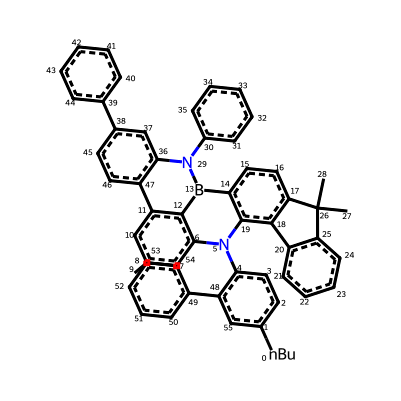 CCCCc1ccc(N2c3cc(C)cc4c3B(c3ccc5c(c32)-c2ccccc2C5(C)C)N(c2ccccc2)c2cc(-c3ccccc3)ccc2-4)c(-c2ccccc2)c1